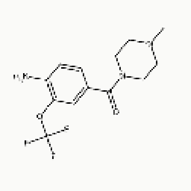 CN1CCN(C(=O)c2ccc(N)c(OC(F)(F)F)c2)CC1